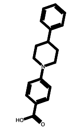 O=C(O)c1ccc(N2CCC(c3ccccc3)CC2)cc1